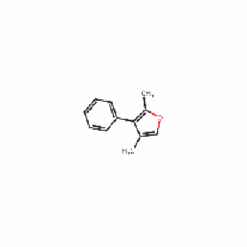 Cc1[c]oc(C)c1-c1ccccc1